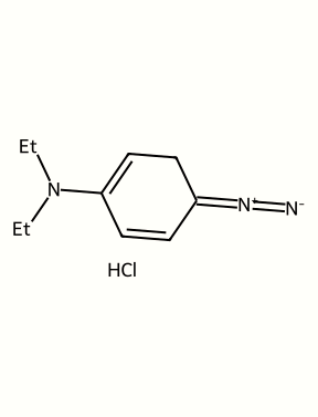 CCN(CC)C1=CCC(=[N+]=[N-])C=C1.Cl